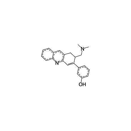 CN(C)CC1Cc2cc3ccccc3nc2C=C1c1cccc(O)c1